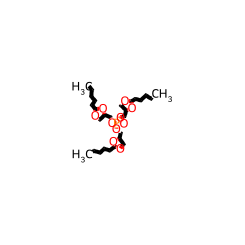 CCCCCC1OCC(COP(=O)(OCC2COC(CCCCC)O2)OCC2COC(CCCCC)O2)O1